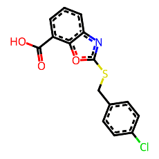 O=C(O)c1cccc2nc(SCc3ccc(Cl)cc3)oc12